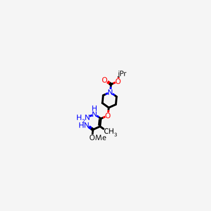 COC(=N)/C(C)=C(\NN)OC1CCN(C(=O)OC(C)C)CC1